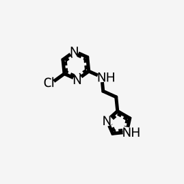 Clc1cncc(NCCc2c[nH]cn2)n1